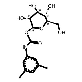 Cc1cc(C)cc(NC(=O)O[C@@H]2O[C@H](CO)[C@@H](O)[C@H](O)[C@H]2O)c1